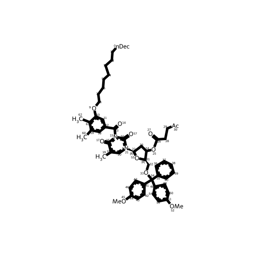 CCCCCCCCCCCCCCCCCCOc1cc(C(=O)n2c(=O)c(C)cn([C@H]3CC(OC(=O)CCC(C)=O)[C@@H](COC(c4ccccc4)(c4ccc(OC)cc4)c4ccc(OC)cc4)O3)c2=O)cc(C)c1C